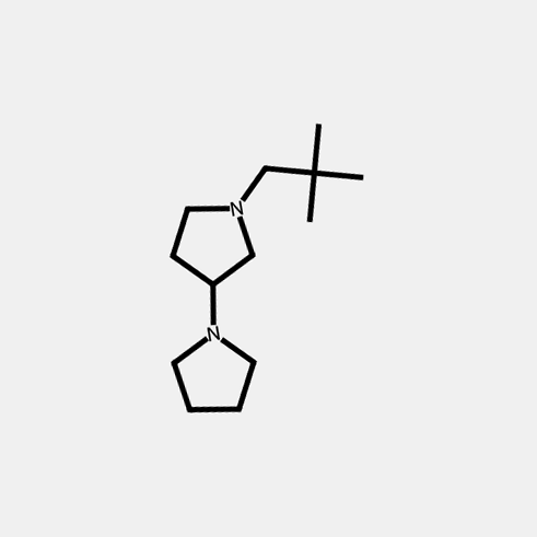 CC(C)(C)CN1CCC(N2CCCC2)C1